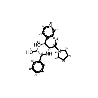 O=C([C@H](N[C@@H](CO)c1ccccc1)[C@@H](O)c1ccncc1)N1CCCC1